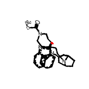 Cc1nc2ccccc2n1C1CC2CCC(C1)N2CCC1(c2ccccc2)CCN(C(=O)OC(C)(C)C)CC1